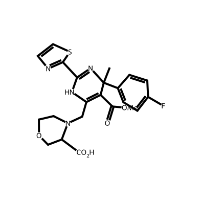 COC(=O)C1=C(CN2CCOCC2C(=O)O)NC(c2nccs2)=NC1(C)c1ccc(F)cc1